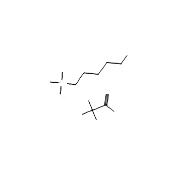 CC(C)(C)C(=O)[O-].CCCCCC[N+](C)(C)C